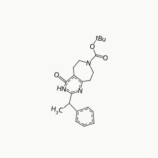 CC(c1ccccc1)c1nc2c(c(=O)[nH]1)CCN(C(=O)OC(C)(C)C)CC2